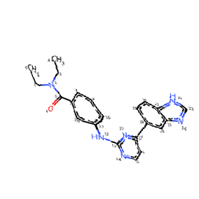 CCN(CC)C(=O)c1cccc(Nc2nccc(-c3ccc4[nH]cnc4c3)n2)c1